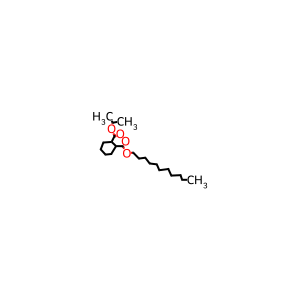 CCCCCCCCCCCOC(=O)C1CCCCC1C(=O)OC(C)C